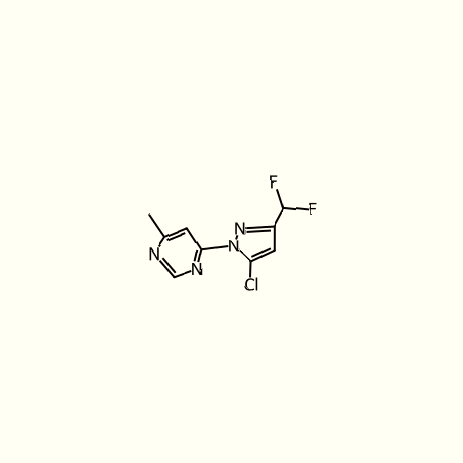 Cc1cc(-n2nc(C(F)F)cc2Cl)ncn1